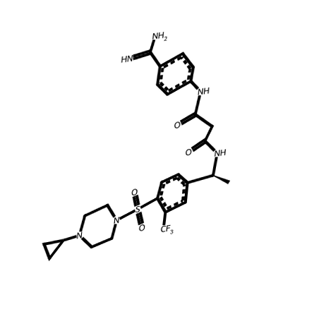 C[C@H](NC(=O)CC(=O)Nc1ccc(C(=N)N)cc1)c1ccc(S(=O)(=O)N2CCN(C3CC3)CC2)c(C(F)(F)F)c1